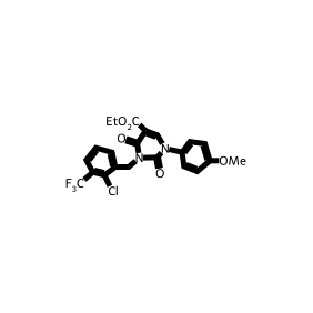 CCOC(=O)c1cn(-c2ccc(OC)cc2)c(=O)n(Cc2cccc(C(F)(F)F)c2Cl)c1=O